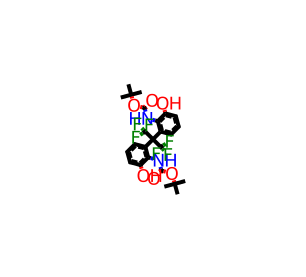 CC(C)(C)OC(=O)Nc1c(O)cccc1C(c1cccc(O)c1NC(=O)OC(C)(C)C)(C(F)(F)F)C(F)(F)F